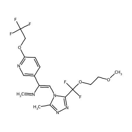 C=N/C(=C\n1c(C)nnc1C(F)(F)OCCOC)c1ccc(OCC(F)(F)F)nc1